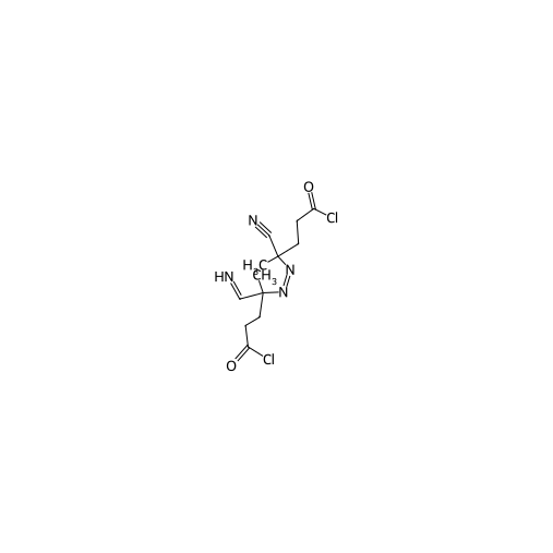 CC(C#N)(CCC(=O)Cl)/N=N\C(C)(C=N)CCC(=O)Cl